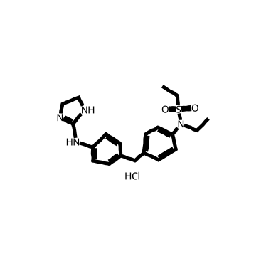 CCN(c1ccc(Cc2ccc(NC3=NCCN3)cc2)cc1)S(=O)(=O)CC.Cl